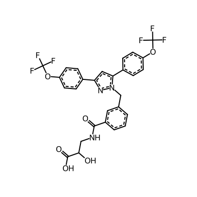 O=C(NCC(O)C(=O)O)c1cccc(Cn2nc(-c3ccc(OC(F)(F)F)cc3)cc2-c2ccc(OC(F)(F)F)cc2)c1